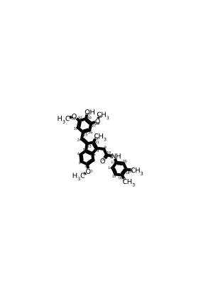 COc1ccc2c(c1)C(CC(=O)Nc1ccc(C)c(C)c1)=C(C)C2=Cc1cc(OC)c(O)c(OC)c1